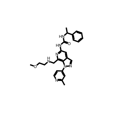 COCCNCc1nc(NC(=O)NC(C)c2ccccc2)cc2cnn(-c3ccnc(C)c3)c12